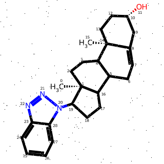 C[C@]12CCC3C(CC=C4C[C@@H](O)CC[C@@]43C)C1CCC2n1nnc2ccccc21